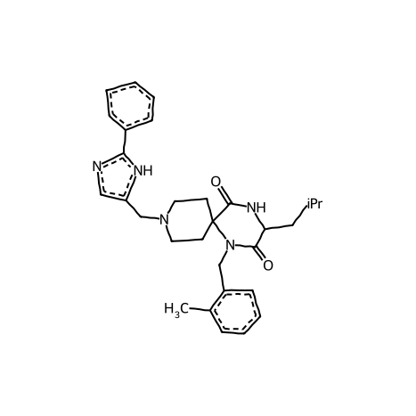 Cc1ccccc1CN1C(=O)C(CC(C)C)NC(=O)C12CCN(Cc1cnc(-c3ccccc3)[nH]1)CC2